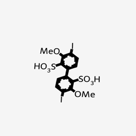 COc1c(I)ccc(-c2ccc(I)c(OC)c2S(=O)(=O)O)c1S(=O)(=O)O